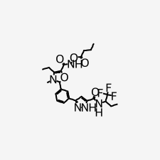 CCCC(=O)ONC(=O)C1=C(CC)N(C)C(c2cccc(-c3cc(C(=O)NC(CC)C(F)(F)F)[nH]n3)c2)O1